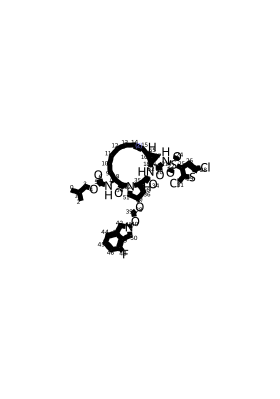 CC(C)COC(=O)N[C@H]1CCCCC/C=C\[C@@H]2C[C@@]2(C(=O)NS(=O)(=O)C2C=C(Cl)SC2Cl)NC(=O)[C@@H]2C[C@@H](OCON3Cc4cccc(F)c4C3)CN2C1=O